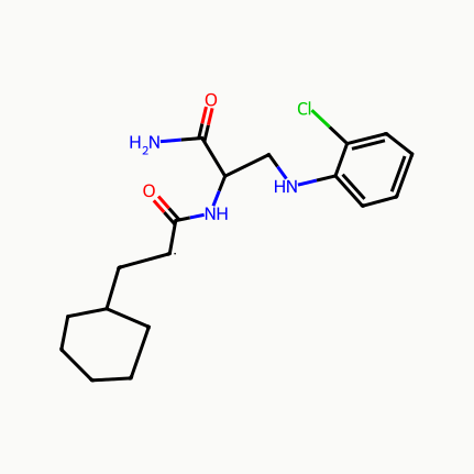 NC(=O)C(CNc1ccccc1Cl)NC(=O)[CH]CC1CCCCC1